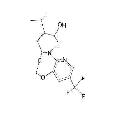 CC(C)C1CC2CCOc3cc(C(F)(F)F)cnc3N2CC1O